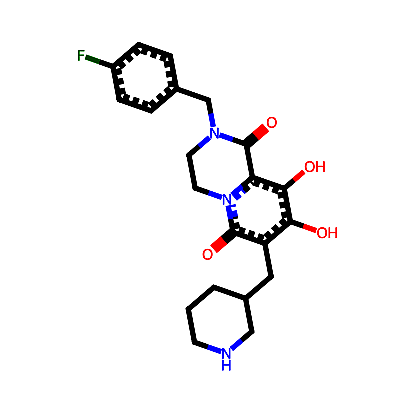 O=C1c2c(O)c(O)c(CC3CCCNC3)c(=O)n2CCN1Cc1ccc(F)cc1